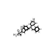 NS(=O)(=O)C1Cc2cc(N(Cc3ccccc3)C3CCNCC3)ccc2N1